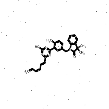 C=C/C=C\C=C\c1nc(O)nc(-c2cc(CN3C(=O)C(C)(C)c4ccccc43)ccc2C)n1